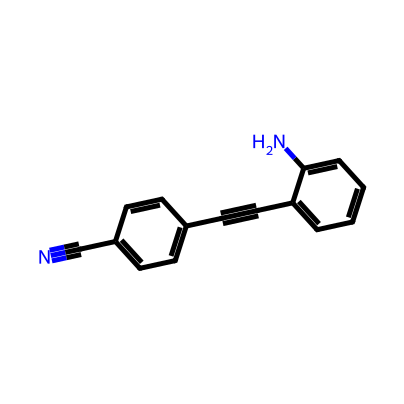 N#Cc1ccc(C#Cc2ccccc2N)cc1